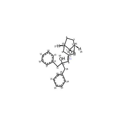 CN1[C@@H]2CC[C@H]1C/C(=C\C(O)(Cc1ccccc1)Cc1ccccc1)C2